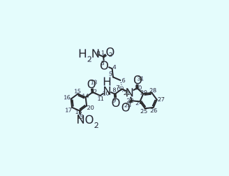 NC(=O)OCCC[C@@H](C(=O)NCC(=O)c1cccc([N+](=O)[O-])c1)N1C(=O)c2ccccc2C1=O